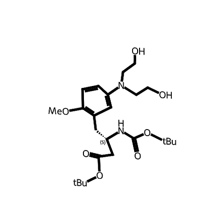 COc1ccc(N(CCO)CCO)cc1C[C@@H](CC(=O)OC(C)(C)C)NC(=O)OC(C)(C)C